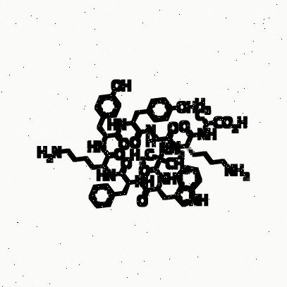 C[C@H](NC(=O)[C@H](CCCCN)NC(=O)CNC(=O)[C@H](Cc1ccc(O)cc1)NC(=O)[C@H](Cc1ccc(O)cc1)NC(=O)[C@H](CCCCN)NC(=O)[C@H](Cc1ccccc1)NC(=O)[C@H](Cc1c[nH]c2ccccc12)NC(=O)C(C)(C)N)C(=O)O